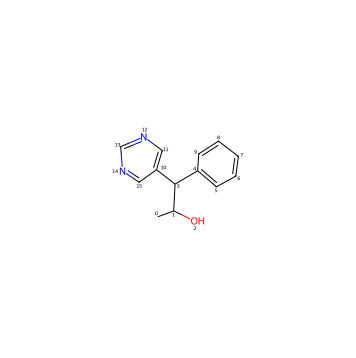 CC(O)C(c1ccccc1)c1cncnc1